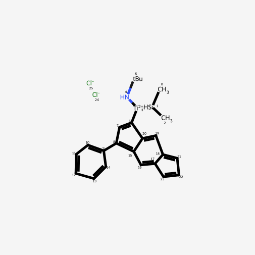 C[SiH](C)[Ti+2]([NH]C(C)(C)C)[C]1=CC(c2ccccc2)=c2cc3c(cc21)=CC=C3.[Cl-].[Cl-]